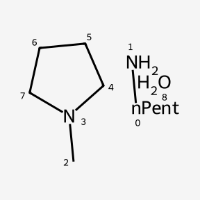 CCCCCN.CN1CCCC1.O